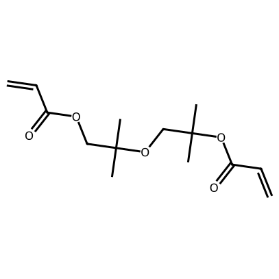 C=CC(=O)OCC(C)(C)OCC(C)(C)OC(=O)C=C